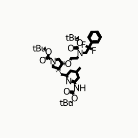 CC1CC(NC(=O)OC(C)(C)C)=NC(C[C@@H]2CN(C(=O)OC(C)(C)C)C[C@@H]2OCCN(CC(F)(F)c2ccccc2)C(=O)OC(C)(C)C)C1